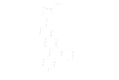 CNc1ncc(-c2ccc3nc(-c4ccc(F)cc4)c(-c4ccc(F)cc4)nc3c2)o1